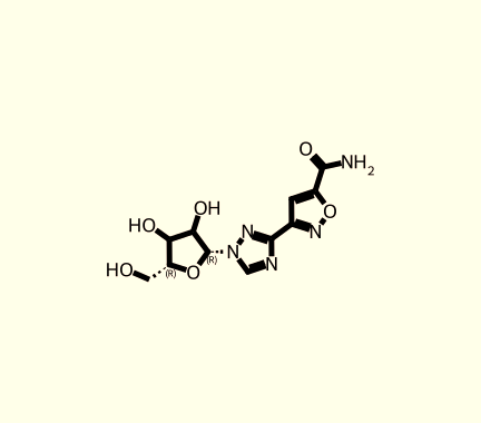 NC(=O)c1cc(-c2ncn([C@@H]3O[C@H](CO)C(O)C3O)n2)no1